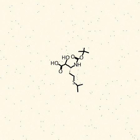 CC(C)SCC[C@@H](NC(=O)OC(C)(C)C)C(O)C(=O)O